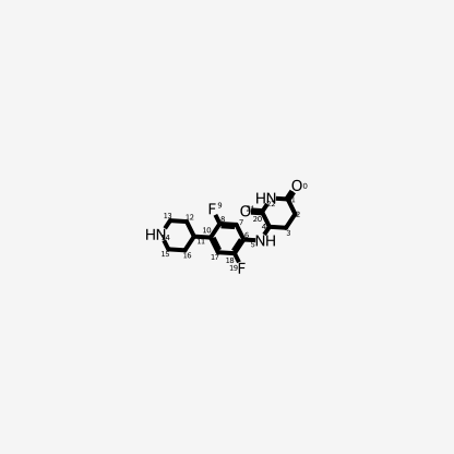 O=C1CCC(Nc2cc(F)c(C3CCNCC3)cc2F)C(=O)N1